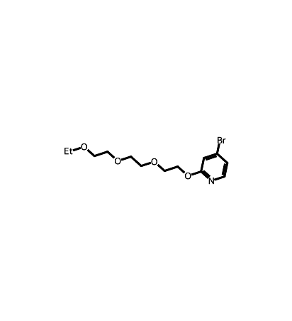 CCOCCOCCOCCOc1cc(Br)ccn1